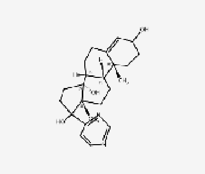 C[C@]12CCC(O)C=C1CC[C@@H]1[C@H]2CC[C@]2(C)C(O)(c3ccncn3)CC[C@@]12O